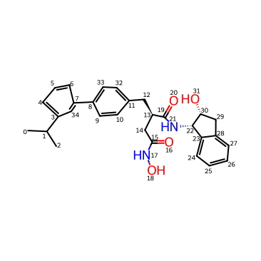 CC(C)c1cccc(-c2ccc(C[C@H](CC(=O)NO)C(=O)N[C@H]3c4ccccc4C[C@H]3O)cc2)c1